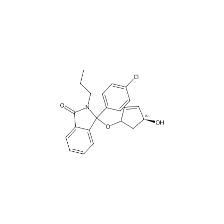 CCCN1C(=O)c2ccccc2C1(OC1C=C[C@@H](O)C1)c1ccc(Cl)cc1